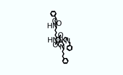 O=C(NCCCCC1NC(=O)C2(CCN(CCCCc3ccccc3)CC2)N(C2CCN(Cc3ccccc3)C2)C1=O)OCc1ccccc1